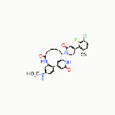 C[C@@H]1CCC[C@H](N2CCC(c3c(C#N)ccc(Cl)c3F)=CC2=O)c2cc(cc(=O)[nH]2)-c2ccc(NC(=O)O)cc2NC1=O